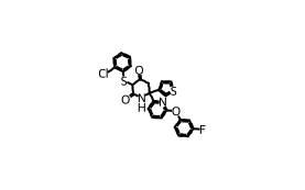 O=C1CC(c2ccsc2)(c2cccc(Oc3cccc(F)c3)n2)NC(=O)C1Sc1ccccc1Cl